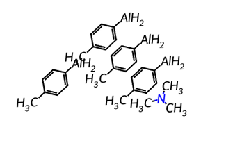 CN(C)C.Cc1cc[c]([AlH2])cc1.Cc1cc[c]([AlH2])cc1.Cc1cc[c]([AlH2])cc1.Cc1cc[c]([AlH2])cc1